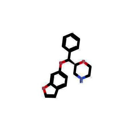 c1ccc(C(Oc2ccc3ccoc3c2)[C@H]2CNCCO2)cc1